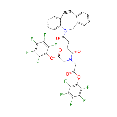 O=C(CN(CC(=O)Oc1c(F)c(F)c(F)c(F)c1F)C(=O)CCC(=O)N1Cc2ccccc2C#Cc2ccccc21)Oc1c(F)c(F)c(F)c(F)c1F